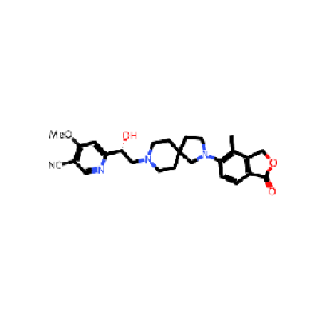 COc1cc([C@H](O)CN2CCC3(CC2)CCN(c2ccc4c(c2C)COC4=O)C3)ncc1C#N